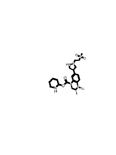 CC(=O)N1c2ccc(C3CNN(CCS(C)(=O)=O)C3)cc2N(C(=O)OC2CCCCN2)C[C@@H]1C